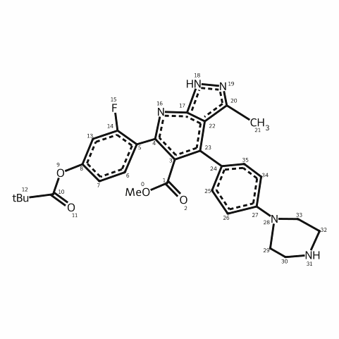 COC(=O)c1c(-c2ccc(OC(=O)C(C)(C)C)cc2F)nc2[nH]nc(C)c2c1-c1ccc(N2CCNCC2)cc1